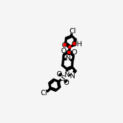 O=C(O)C1CC2Cc3c(cnn3S(=O)(=O)c3ccc(Cl)cc3)C(C1)N2S(=O)(=O)c1ccc(Cl)cc1